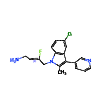 Cc1c(-c2cccnc2)c2cc(Cl)ccc2n1C/C(F)=C/CN